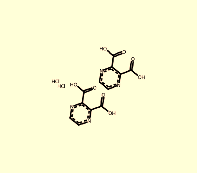 Cl.Cl.O=C(O)c1nccnc1C(=O)O.O=C(O)c1nccnc1C(=O)O